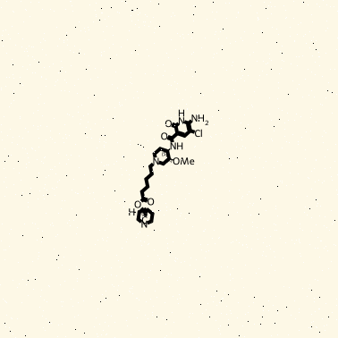 CO[C@@H]1CN(CCCCCC(=O)O[C@@H]2CN3CCC2CC3)CC[C@@H]1NC(=O)c1cc(Cl)c(N)[nH]c1=O